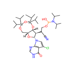 CC(C)N(C(C)C)P(O)OCC(C#N)[C@@H]1[C@H]2O[Si](C(C)C)(C(C)C)O[Si](C(C)C)(C(C)C)OC[C@H]2O[C@H]1n1cc(Cl)c2c(=O)[nH]cnc21